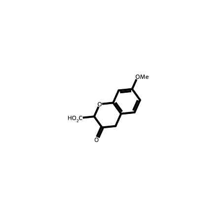 COc1ccc2c(c1)OC(C(=O)O)C(=O)C2